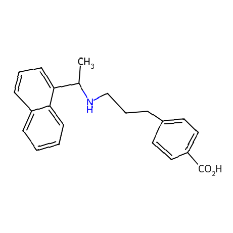 CC(NCCCc1ccc(C(=O)O)cc1)c1cccc2ccccc12